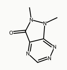 Cn1c(=O)c2ncnnc2n1C